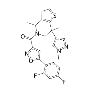 CC1c2ccsc2C(C)(c2cnn(C)c2)CN1C(=O)c1cc(-c2ccc(F)cc2F)on1